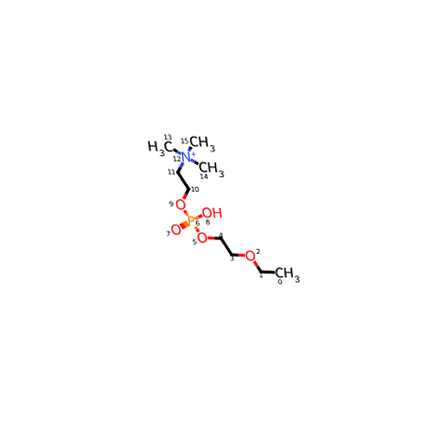 CCOCCOP(=O)(O)OCC[N+](C)(C)C